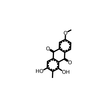 COc1ccc2c(c1)C(=O)c1cc(O)c(C)c(O)c1C2=O